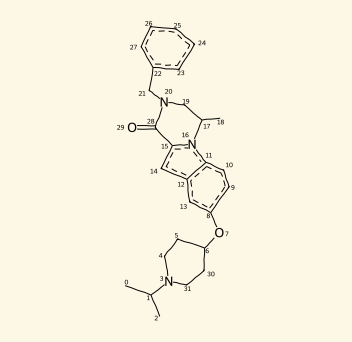 CC(C)N1CCC(Oc2ccc3c(c2)cc2n3C(C)CN(Cc3ccccc3)C2=O)CC1